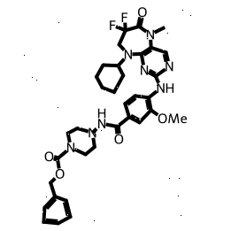 COc1cc(C(=O)NN2CCN(C(=O)OCc3ccccc3)CC2)ccc1Nc1ncc2c(n1)N(C1CCCCC1)CC(F)(F)C(=O)N2C